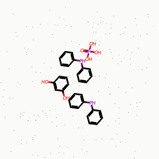 O=P(O)(O)O.Oc1cccc(O)c1.c1ccc(Pc2ccccc2)cc1.c1ccc(Pc2ccccc2)cc1